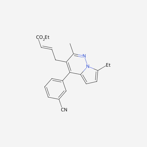 CCOC(=O)C=CCc1c(C)nn2c(CC)ccc2c1-c1cccc(C#N)c1